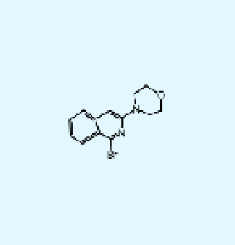 Brc1nc(N2CCOCC2)cc2ccccc12